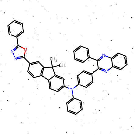 CC1(C)c2cc(-c3nnc(-c4ccccc4)o3)ccc2-c2ccc(N(c3ccccc3)c3ccc(-c4nc5ccccc5nc4-c4ccccc4)cc3)cc21